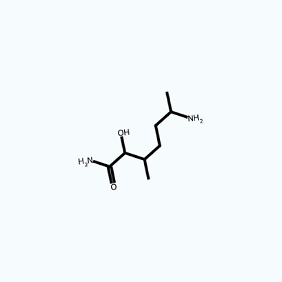 CC(N)CCC(C)C(O)C(N)=O